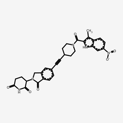 Cc1c(C(=O)N2CCC(C#Cc3ccc4c(c3)CN(C3CCC(=O)NC3=O)C4=O)CC2)[nH]c2cc([N+](=O)[O-])ccc12